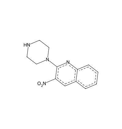 O=[N+]([O-])c1cc2ccccc2nc1N1CCNCC1